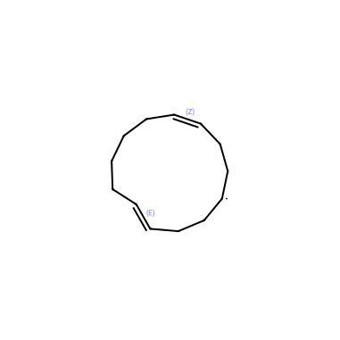 [CH]1CC/C=C\CCCC/C=C/CC1